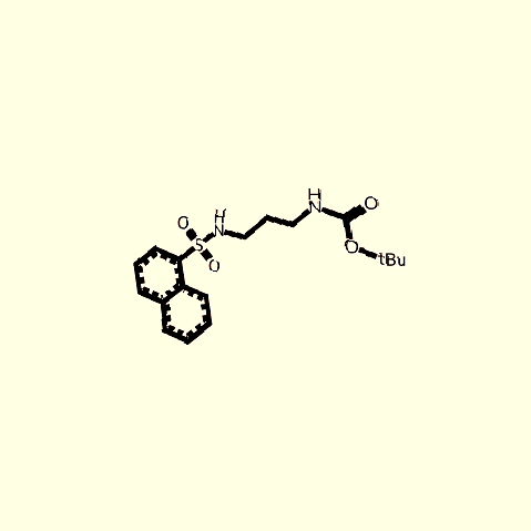 CC(C)(C)OC(=O)NCCCNS(=O)(=O)c1cccc2ccccc12